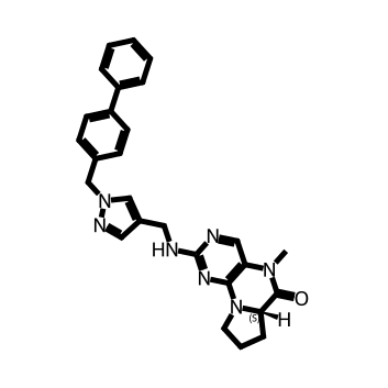 CN1C(=O)[C@@H]2CCCN2c2nc(NCc3cnn(Cc4ccc(-c5ccccc5)cc4)c3)ncc21